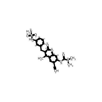 C#Cc1cc2c(C)c(Cc3cccc(NS(N)(=O)=O)c3)c(=O)oc2cc1OC(=O)N(C)C